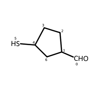 O=CC1CCC(S)C1